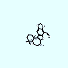 C[C@@H]1CC[C@H]2C(C)(C)CCC[C@]2(C)c2c1oc1c(C=O)c3c(cc21)OCO3